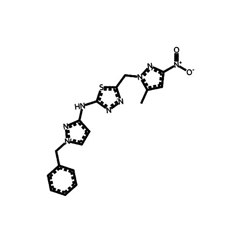 Cc1cc([N+](=O)[O-])nn1Cc1nnc(Nc2ccn(Cc3ccccc3)n2)s1